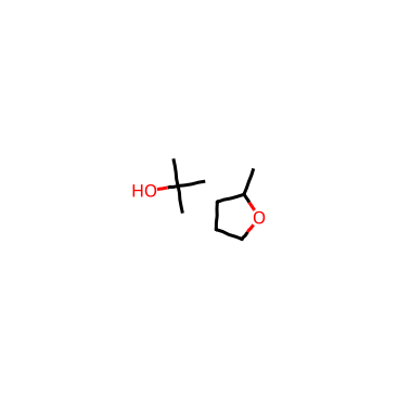 CC(C)(C)O.CC1CCCO1